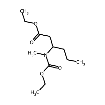 CCCC(CC(=O)OCC)N(C)C(=O)OCC